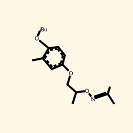 CCC(C)Oc1ccc(OCC(C)ON=C(C)C)cc1C